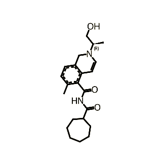 Cc1ccc2c(c1C(=O)NC(=O)C1CCCCCC1)C=CN([C@H](C)CO)C2